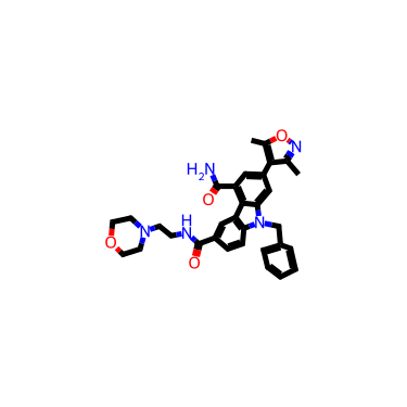 Cc1noc(C)c1-c1cc(C(N)=O)c2c3cc(C(=O)NCCN4CCOCC4)ccc3n(Cc3ccccc3)c2c1